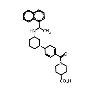 C[C@@H](N[C@H]1CCC[C@H](C2C=CC(C(=O)N3CCC(C(=O)O)CC3)=CC2)C1)c1cccc2ccccc12